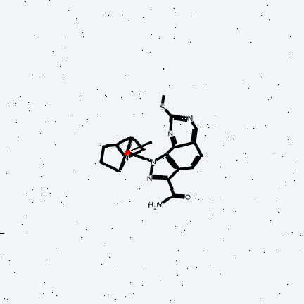 CSc1ncc2ccc3c(C(N)=O)nn([C@]4(C)CC5CCC6C4CN56)c3c2n1